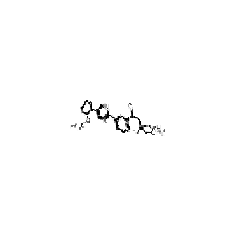 CCC1(CC)CC(=O)c2cc(-c3ncc(-c4ccccc4OC)cn3)ccc2O1